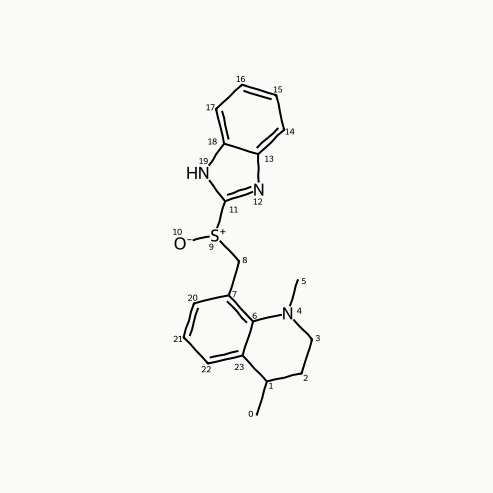 CC1CCN(C)c2c(C[S+]([O-])c3nc4ccccc4[nH]3)cccc21